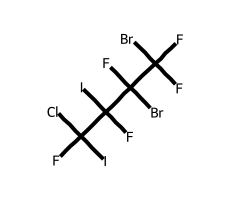 FC(F)(Br)C(F)(Br)C(F)(I)C(F)(Cl)I